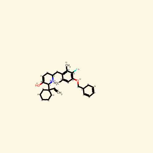 C=CC1(C2NC(Cc3c(C)cc(OCC4C=CC=CC4)c(F)c3C)CC=C2O)CCCCC1